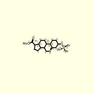 COC(=O)C1CCC2C3CN=C4CC(O[Si](C(C)C)(C(C)C)C(C)C)CC[C@]4(C)C3CC[C@]12C